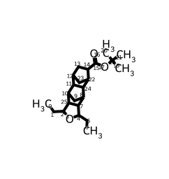 CCC1OC(CC)C2C3CC(C4C5CC(C(=O)OC(C)(C)C)C(C5)C34)C12